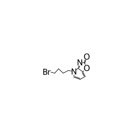 O=c1nc2n(CCCCBr)cccc-2o1